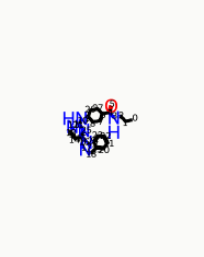 CCCNC(=O)C1CCC(Nc2nccc(-n3ncc4ccccc43)n2)CC1